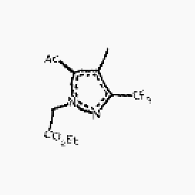 CCOC(=O)Cn1nc(C(F)(F)F)c(C)c1C(C)=O